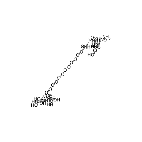 CC(C)[C@H](NC(=O)[C@@H](C)CCCCNC(=O)CCOCCOCCOCCOCCOCCOCCOCCOCCOCCOCCOCCOCCN(C[C@@H](O)[C@@H](O)[C@H](O)[C@H](O)CO)C[C@@H](O)[C@@H](O)[C@H](O)[C@H](O)CO)C(=O)N[C@@H](CCCNC(N)=O)C(=O)Nc1ccc(CO)cc1